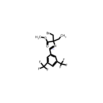 CCC(CBr)(/N=C/c1cc(C(F)(F)F)cc(C(F)(F)F)c1)C(=O)OC